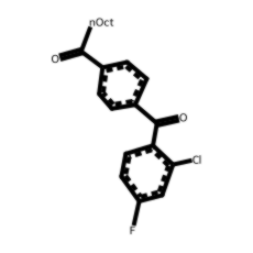 CCCCCCCCC(=O)c1ccc(C(=O)c2ccc(F)cc2Cl)cc1